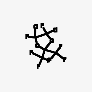 FC(F)(F)C1(C(F)(F)F)OC(F)(Cl)C(F)(Cl)O1